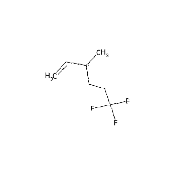 C=C[C](C)CCC(F)(F)F